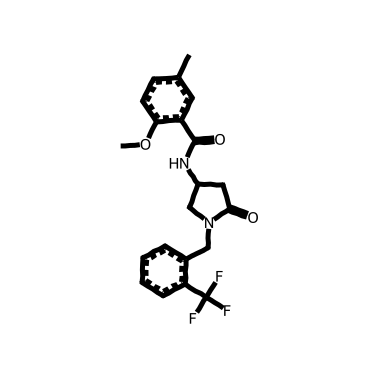 COc1ccc(C)cc1C(=O)NC1CC(=O)N(Cc2ccccc2C(F)(F)F)C1